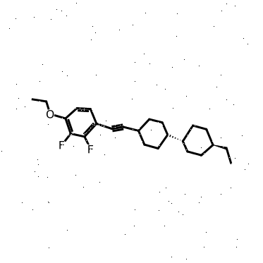 CCOc1ccc(C#CC2CCC([C@H]3CC[C@H](CC)CC3)CC2)c(F)c1F